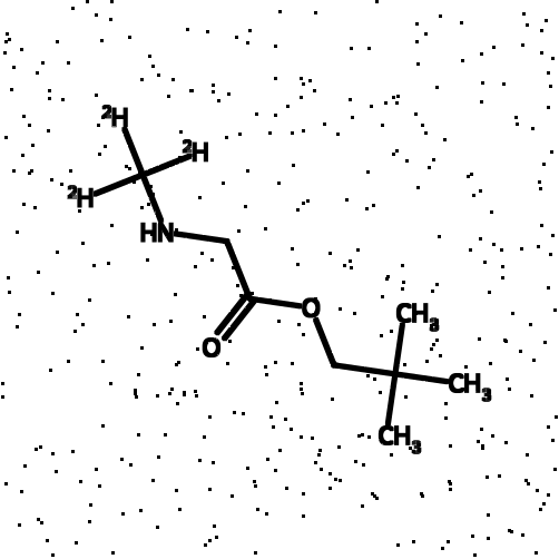 [2H]C([2H])([2H])NCC(=O)OCC(C)(C)C